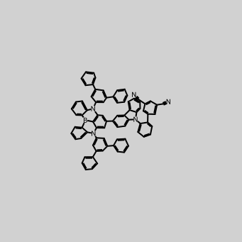 N#Cc1cc(C#N)cc(-c2ccccc2-n2c3ccccc3c3cc(-c4cc5c6c(c4)N(c4cc(-c7ccccc7)cc(-c7ccccc7)c4)c4ccccc4B6c4ccccc4N5c4cc(-c5ccccc5)cc(-c5ccccc5)c4)ccc32)c1